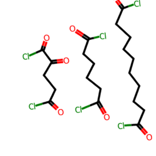 O=C(Cl)CCC(=O)C(=O)Cl.O=C(Cl)CCCCC(=O)Cl.O=C(Cl)CCCCCCCCC(=O)Cl